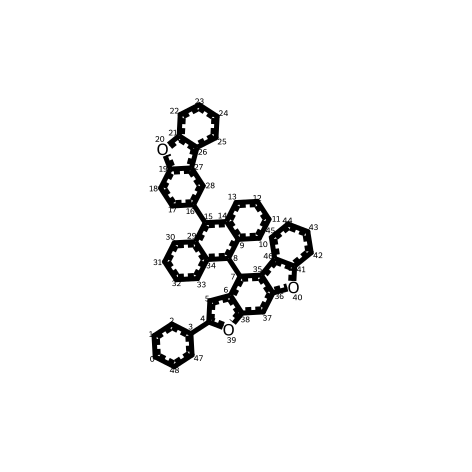 c1ccc(-c2cc3c(-c4c5ccccc5c(-c5ccc6oc7ccccc7c6c5)c5ccccc45)c4c(cc3o2)oc2ccccc24)cc1